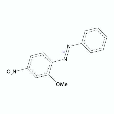 COc1cc([N+](=O)[O-])ccc1/N=N/c1ccccc1